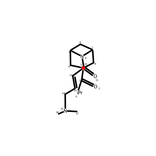 CC(C)C(=O)N1CC2CC(C1)N2C(=O)C=CCN(C)C